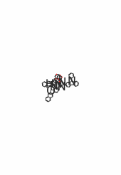 c1ccc(C2N=C(c3ccc4c5ccccc5n(-c5ccccc5)c4c3)N=C(c3ccc4c(oc5cc6ccccc6cc54)c3-n3c4cc5ccccc5cc4c4cc5ccccc5cc43)N2)cc1